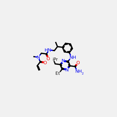 C=CC(=O)N(C)CC(=O)NCC(C)c1cccc(Nc2nc(CC(C)C)c(CC)nc2C(N)=O)c1